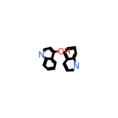 Oc1ccnc2ccccc12.c1ccc2ncccc2c1